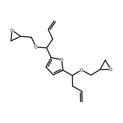 C=CCC(OCC1CO1)c1ccc(C(CC=C)OCC2CO2)o1